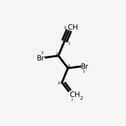 C#CC(Br)C(Br)C=C